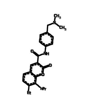 CCCc1c(CC)ccc2cc(C(=O)Nc3ccc(CN(C)C)cc3)c(=O)oc12